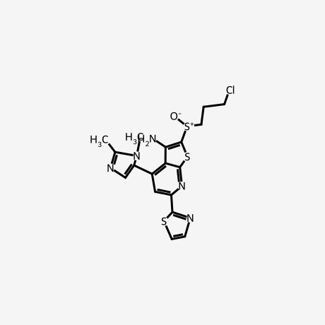 Cc1ncc(-c2cc(-c3nccs3)nc3sc([S+]([O-])CCCCl)c(N)c23)n1C